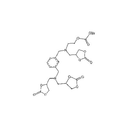 COC(=O)OCCN(Cc1cccc(CN(CC2COC(=O)O2)CC2COC(=O)O2)c1)CC1COC(=O)O1